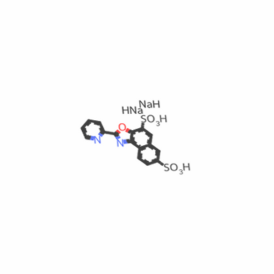 O=S(=O)(O)c1ccc2c(c1)cc(S(=O)(=O)O)c1oc(-c3ccccn3)nc12.[NaH].[NaH]